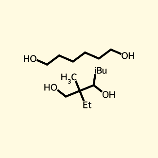 CCC(C)C(O)C(C)(CC)CO.OCCCCCCO